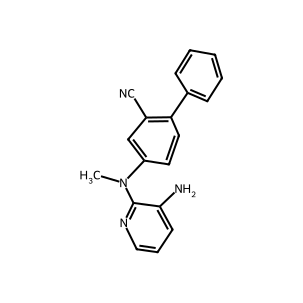 CN(c1ccc(-c2ccccc2)c(C#N)c1)c1ncccc1N